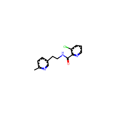 Cc1ccc(CCNC(=O)c2ncccc2Cl)cn1